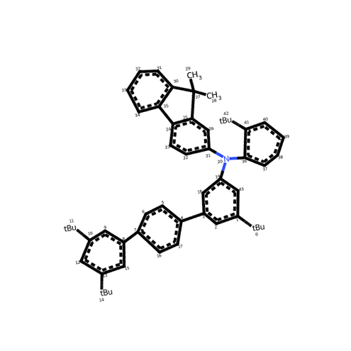 CC(C)(C)c1cc(-c2ccc(-c3cc(C(C)(C)C)cc(C(C)(C)C)c3)cc2)cc(N(c2ccc3c(c2)C(C)(C)c2ccccc2-3)c2ccccc2C(C)(C)C)c1